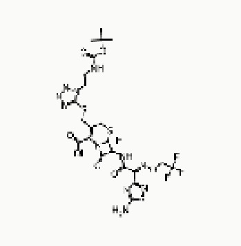 CC(C)(C)OC(=O)NCCn1nnnc1SCC1=C(C(=O)O)N2C(=O)C(NC(=O)C(=NOCC(F)(F)F)c3nsc(N)n3)[C@@H]2SC1